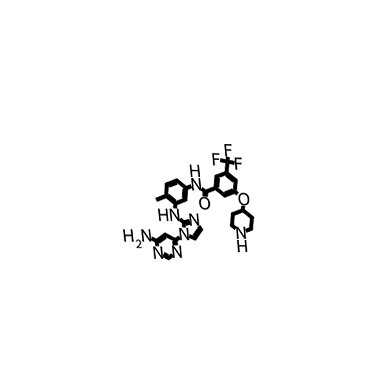 Cc1ccc(NC(=O)c2cc(OC3CCNCC3)cc(C(F)(F)F)c2)cc1Nc1nccn1-c1cc(N)ncn1